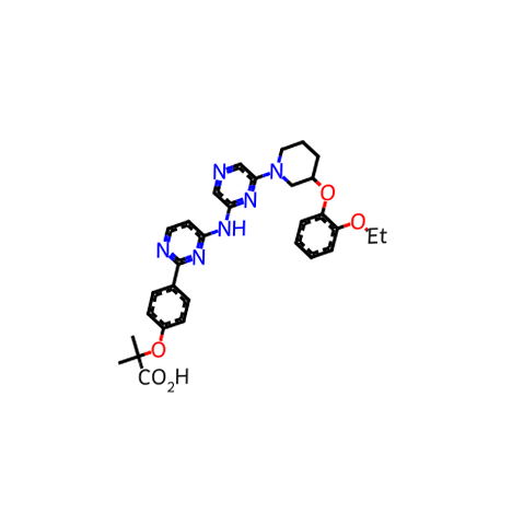 CCOc1ccccc1OC1CCCN(c2cncc(Nc3ccnc(-c4ccc(OC(C)(C)C(=O)O)cc4)n3)n2)C1